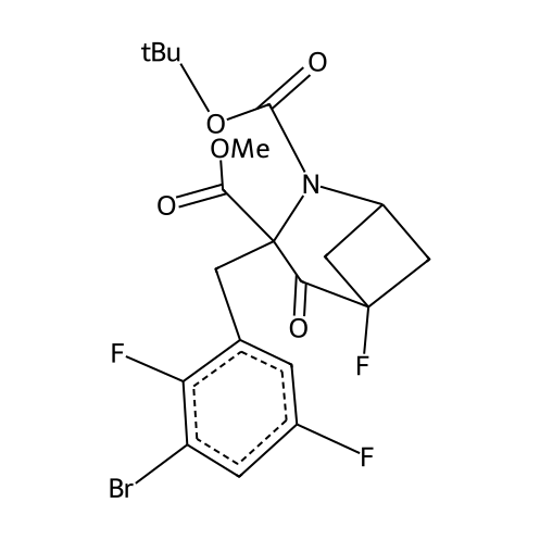 COC(=O)C1(Cc2cc(F)cc(Br)c2F)C(=O)C2(F)CC(C2)N1C(=O)OC(C)(C)C